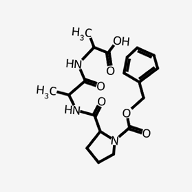 CC(NC(=O)C(C)NC(=O)C1CCCN1C(=O)OCc1ccccc1)C(=O)O